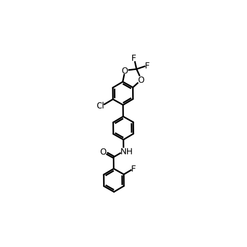 O=C(Nc1ccc(-c2cc3c(cc2Cl)OC(F)(F)O3)cc1)c1ccccc1F